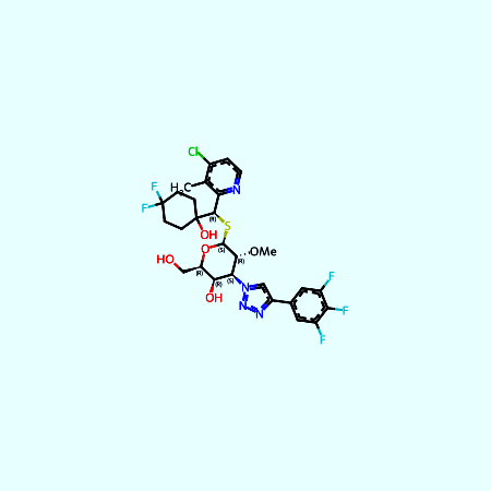 CO[C@@H]1[C@@H](n2cc(-c3cc(F)c(F)c(F)c3)nn2)[C@@H](O)[C@@H](CO)O[C@H]1S[C@H](c1nccc(Cl)c1C)C1(O)CCC(F)(F)CC1